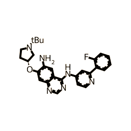 CC(C)(C)N1CC[C@@H](Oc2cc3ncnc(Nc4ccnc(-c5ccccc5F)c4)c3cc2N)C1